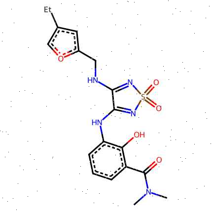 CCc1coc(CNC2=NS(=O)(=O)N=C2Nc2cccc(C(=O)N(C)C)c2O)c1